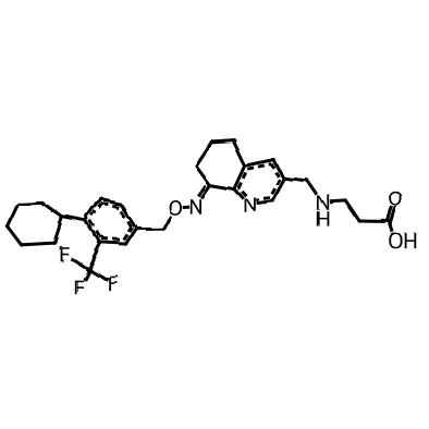 O=C(O)CCNCc1cnc2c(c1)CCCC2=NOCc1ccc(C2CCCCC2)c(C(F)(F)F)c1